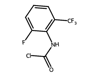 O=C(Cl)Nc1c(F)cccc1C(F)(F)F